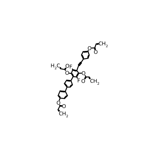 C=CC(=O)Oc1ccc(C#Cc2c(F)c(OC(=O)C=C)c(-c3ccc(-c4ccc(OC(=O)C=C)cc4)cc3)c(F)c2OC(=O)C=C)cc1